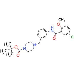 COc1ccc(Cl)cc1C(=O)Nc1cccc(CN2CCN(C(=O)OC(C)(C)C)CC2)c1